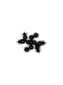 CC(C)(C)c1ccc2c(c1)-c1cc(C(C)(C)C)ccc1C2c1ccc2c(-c3cccc(-c4ccccc4)c3)c3cc(-n4c5ccc(C(C)(C)C)cc5c5cc(C(C)(C)C)ccc54)ccc3c(-c3cccc(-c4ccccc4)c3)c2c1